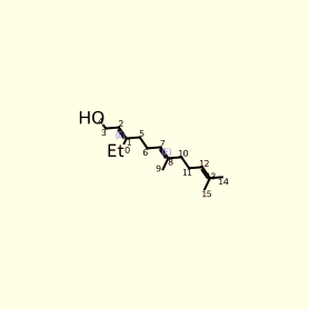 CC/C(=C\CO)CC/C=C(\C)CCC=C(C)C